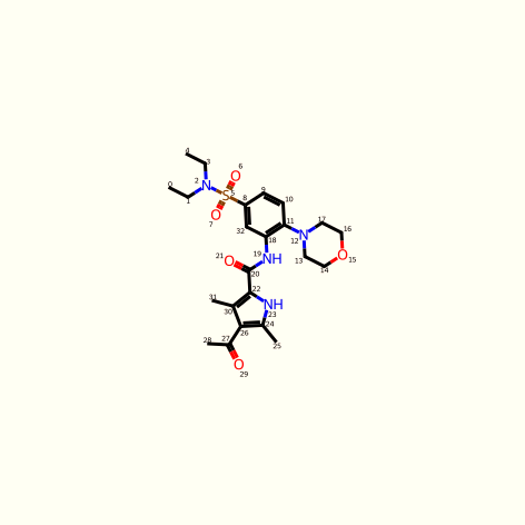 CCN(CC)S(=O)(=O)c1ccc(N2CCOCC2)c(NC(=O)c2[nH]c(C)c(C(C)=O)c2C)c1